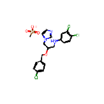 CS(=O)(=O)O.Clc1ccc(COC(CNc2ccc(Cl)c(Cl)c2)Cn2ccnc2)cc1